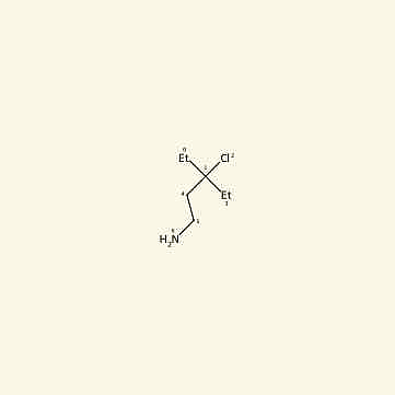 CCC(Cl)(CC)CCN